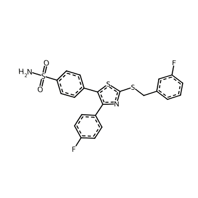 NS(=O)(=O)c1ccc(-c2sc(SCc3cccc(F)c3)nc2-c2ccc(F)cc2)cc1